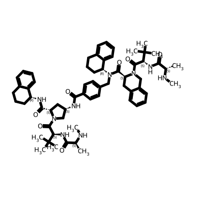 CN[C@@H](C)C(=O)N[C@H](C(=O)N1C[C@@H](NC(=O)c2ccc(CN(C(=O)[C@@H]3Cc4ccccc4CN3C(=O)[C@@H](NC(=O)[C@H](C)NC)C(C)(C)C)[C@@H]3CCCc4ccccc43)cc2)C[C@H]1C(=O)N[C@@H]1CCCc2ccccc21)C(C)(C)C